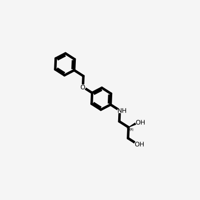 OC[C@H](O)CNc1ccc(OCc2ccccc2)cc1